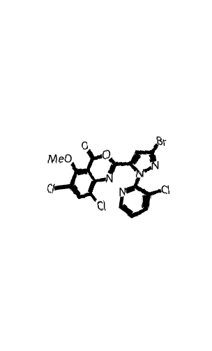 COc1c(Cl)cc(Cl)c2nc(-c3cc(Br)nn3-c3ncccc3Cl)oc(=O)c12